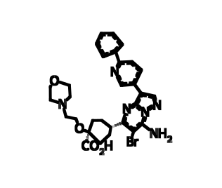 Nc1c(Br)c([C@H]2CC[C@@](OCCN3CCOCC3)(C(=O)O)CC2)nc2c(-c3ccc(-c4ccccc4)nc3)cnn12